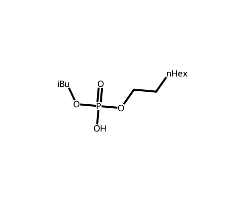 CCCCCCCCOP(=O)(O)OC(C)CC